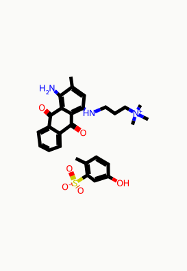 Cc1cc(NCCC[N+](C)(C)C)c2c(c1N)C(=O)c1ccccc1C2=O.Cc1ccc(O)cc1S(=O)(=O)[O-]